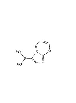 OB(O)c1ccc2occcc1-2